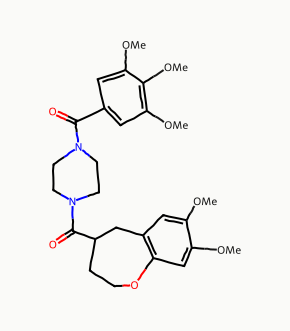 COc1cc2c(cc1OC)OCCC(C(=O)N1CCN(C(=O)c3cc(OC)c(OC)c(OC)c3)CC1)C2